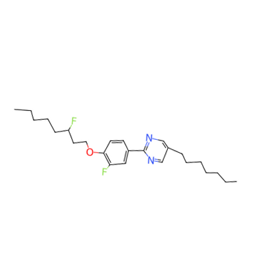 CCCCCCCc1cnc(-c2ccc(OCCC(F)CCCCC)c(F)c2)nc1